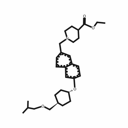 CCOC(=O)C1CCN(Cc2ccc3cc(O[C@H]4CC[C@H](COCC(C)C)CC4)ccc3c2)CC1